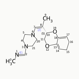 C/N=C/N1CCN(/C=C(/C)[C@H]2COC3=CCCC=C3O2)CC1